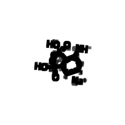 [NH-]c1cccc(S(=O)(=O)O)c1S(=O)(=O)O.[Na+]